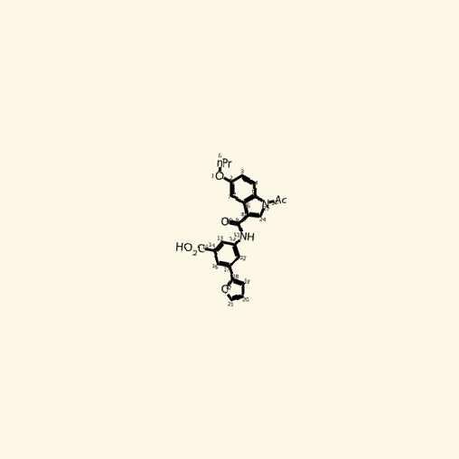 CCCOc1ccc2c(c1)c(C(=O)Nc1cc(C(=O)O)cc(-c3ccco3)c1)cn2C(C)=O